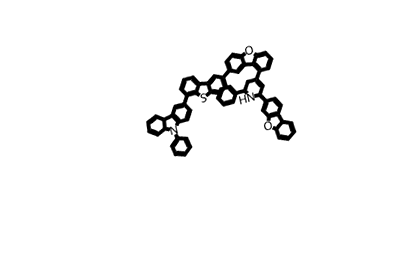 C1=CC2Oc3cc(C4C=C(c5cccc6oc7ccc(-c8ccc9sc%10c(-c%11ccc%12c(c%11)C%11C=CC=CC%11N%12c%11ccccc%11)cccc%10c9c8)cc7c56)CC(c5ccccc5)N4)ccc3C2C=C1